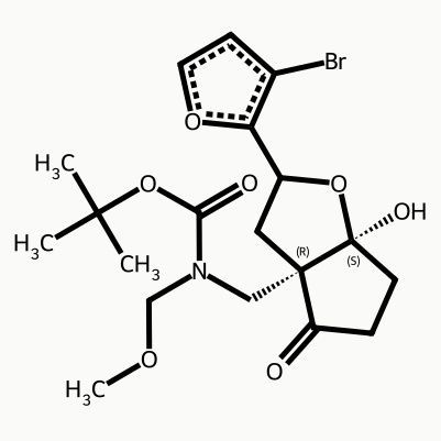 COCN(C[C@]12CC(c3occc3Br)O[C@@]1(O)CCC2=O)C(=O)OC(C)(C)C